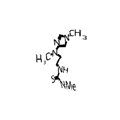 CNC(=S)NCCN(C)c1cn(C)cn1